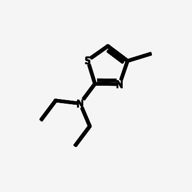 CCN(CC)c1nc(C)cs1